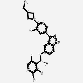 Cc1ncc(Cl)c([C@@H](C)Oc2ccc3[nH]nc(-c4cnc(N5CC(CC(F)(F)F)C5)c(C#N)c4)c3c2)c1Cl